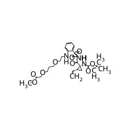 C=C[C@@H]1C[C@]1(NC(=O)OC(C)(C)C)C(=O)NS(=O)(=O)c1ccccc1NCCOCCCOCC(=O)OC